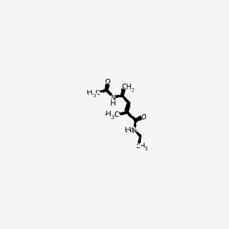 C=C(/C=C(\C)C(=O)NCC)NC(C)=O